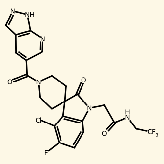 O=C(CN1C(=O)C2(CCN(C(=O)c3cnc4[nH]ncc4c3)CC2)c2c1ccc(F)c2Cl)NCC(F)(F)F